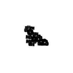 CCCCCCOc1ccc(NC(C(=O)NC(C(=O)N2CCOCC2)C(C)(C)C)C(O)C(=O)NO)cc1